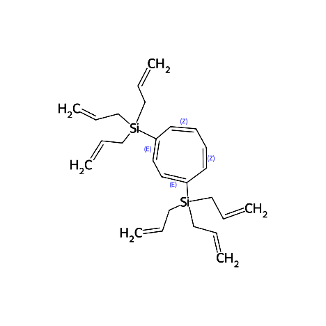 C=CC[Si](CC=C)(CC=C)C1=C/C=C([Si](CC=C)(CC=C)CC=C)\C=C/C=C\1